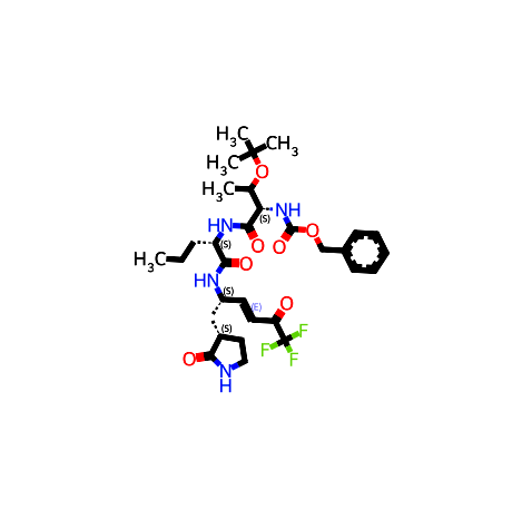 CCC[C@H](NC(=O)[C@@H](NC(=O)OCc1ccccc1)C(C)OC(C)(C)C)C(=O)N[C@H](/C=C/C(=O)C(F)(F)F)C[C@@H]1CCNC1=O